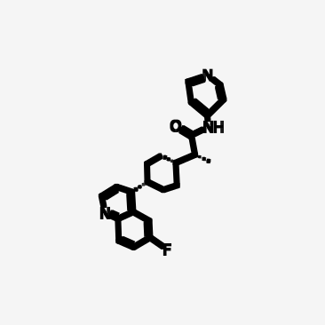 C[C@@H](C(=O)Nc1ccncc1)[C@H]1CC[C@@H](c2ccnc3ccc(F)cc32)CC1